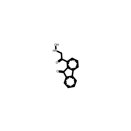 O=C(CNO)c1cccc2c1C(=O)c1ccccc1-2